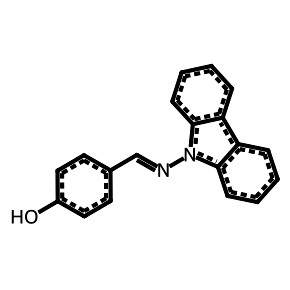 Oc1ccc(C=Nn2c3ccccc3c3ccccc32)cc1